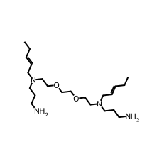 CCC=CCN(CCCN)CCOCCOCCN(CC=CCC)CCCN